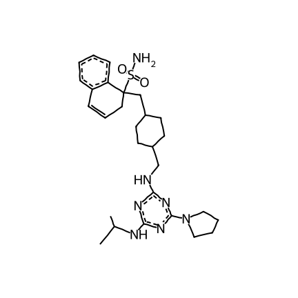 CC(C)Nc1nc(NCC2CCC(CC3(S(N)(=O)=O)CC=Cc4ccccc43)CC2)nc(N2CCCC2)n1